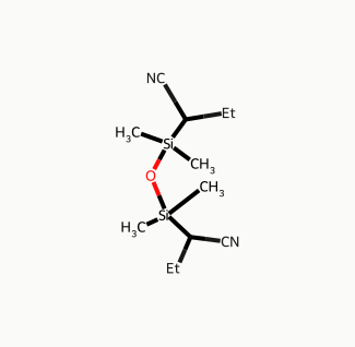 CCC(C#N)[Si](C)(C)O[Si](C)(C)C(C#N)CC